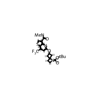 CNC(=O)c1csc2c(C(F)(F)F)cc(OC3CC4(CCN4C(=O)OC(C)(C)C)C3)nc12